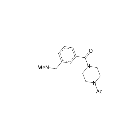 CNCc1cccc(C(=O)N2CCN(C(C)=O)CC2)c1